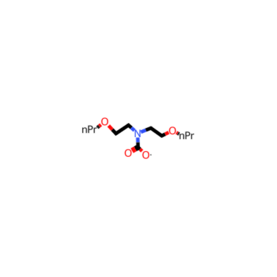 CCCOCCN(CCOCCC)C([O])=O